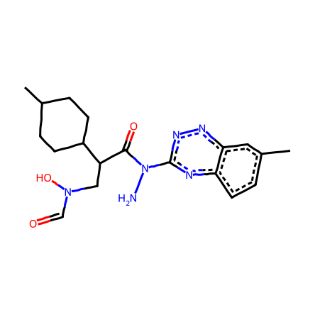 Cc1ccc2nc(N(N)C(=O)C(CN(O)C=O)C3CCC(C)CC3)nnc2c1